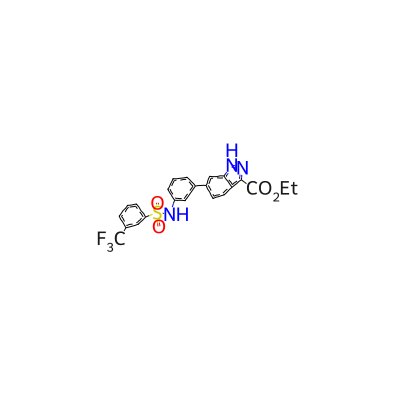 CCOC(=O)c1n[nH]c2cc(-c3cccc(NS(=O)(=O)c4cccc(C(F)(F)F)c4)c3)ccc12